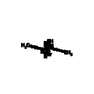 C#C/C(C#N)=C1\C(Br)=Cc2c(CCCCCCCCCCCC)c3c(c(CCCCCCCCCCCC)c21)C=C(Br)C3=C(C#N)C#N